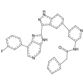 O=C(Cc1ccccc1)Nc1cncc(-c2ccc3[nH]nc(-c4nc5c(-c6cccc(F)c6)cncc5[nH]4)c3c2)c1